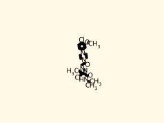 COc1cc(N2CCN(C(=O)Cn3nc(C(=O)NC(C)C)c(Cl)c3C)CC2)ccc1Cl